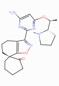 C[C@H](Oc1cc(N)nc(-c2noc3c2CCC[C@@]32CCCCC2=O)n1)[C@@H]1CCCN1C